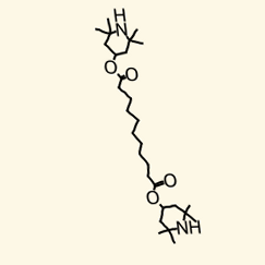 CC1(C)CC(OC(=O)CCCCCCCCCC(=O)OC2CC(C)(C)NC(C)(C)C2)CC(C)(C)N1